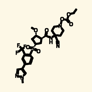 CCOC(=O)ON1CCC(C#N)(NC(=O)[C@H]2C[C@H](S(=O)(=O)c3ccc(-c4cnn(C)c4)cc3C(F)(F)F)C[C@@H]2OC)CC1